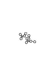 Clc1cc(-c2cc3c4ccccc4n(-c4ccc(-c5ccccc5)cc4)c3c3sc4ccccc4c23)cc(N(c2ccccc2)c2ccccc2)c1